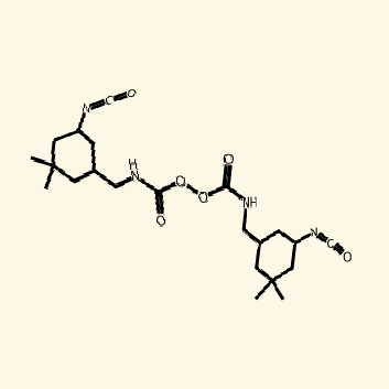 CC1(C)CC(CNC(=O)OOC(=O)NCC2CC(N=C=O)CC(C)(C)C2)CC(N=C=O)C1